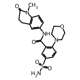 CN1C(=O)CCc2cc(NC(=O)c3cc(S(N)(=O)=O)ccc3N3CCOCC3)ccc21